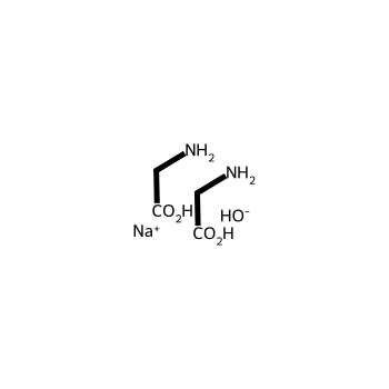 NCC(=O)O.NCC(=O)O.[Na+].[OH-]